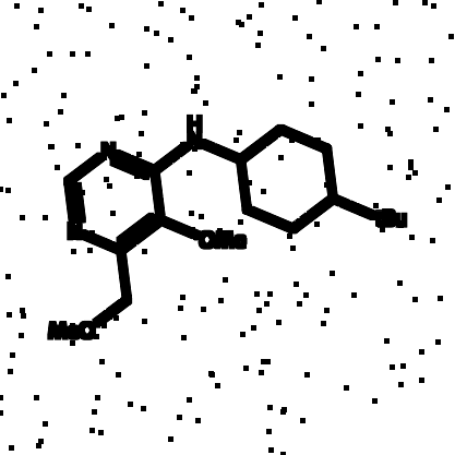 COCc1ncnc(NC2CCC(C(C)(C)C)CC2)c1OC